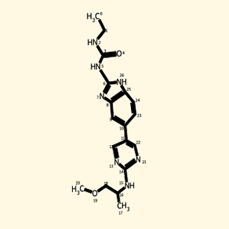 CCNC(=O)Nc1nc2cc(-c3cnc(NC(C)COC)nc3)ccc2[nH]1